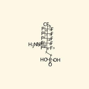 N.N.O=P(O)(O)CCC(F)(F)C(F)(F)C(F)(F)C(F)(F)C(F)(F)C(F)(F)F